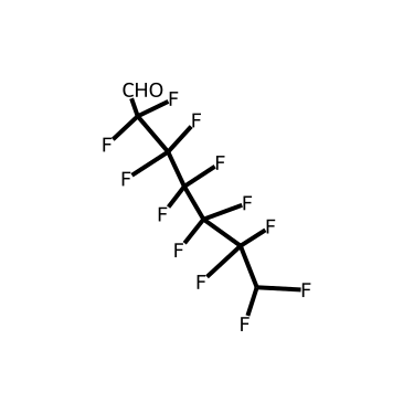 O=CC(F)(F)C(F)(F)C(F)(F)C(F)(F)C(F)(F)C(F)F